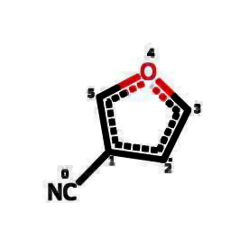 N#Cc1[c]coc1